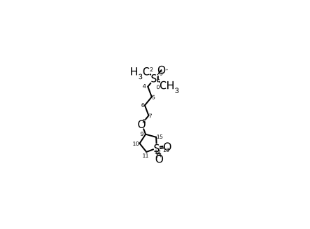 C[Si](C)([O])CCCCOC1CCS(=O)(=O)C1